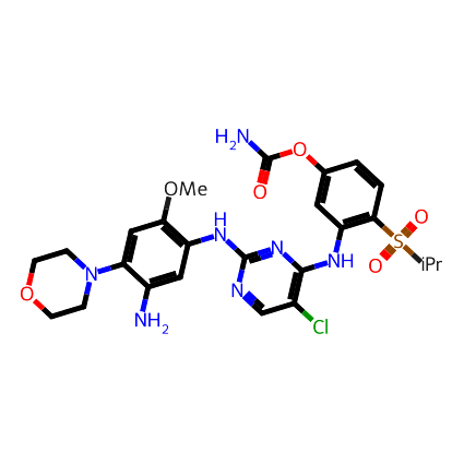 COc1cc(N2CCOCC2)c(N)cc1Nc1ncc(Cl)c(Nc2cc(OC(N)=O)ccc2S(=O)(=O)C(C)C)n1